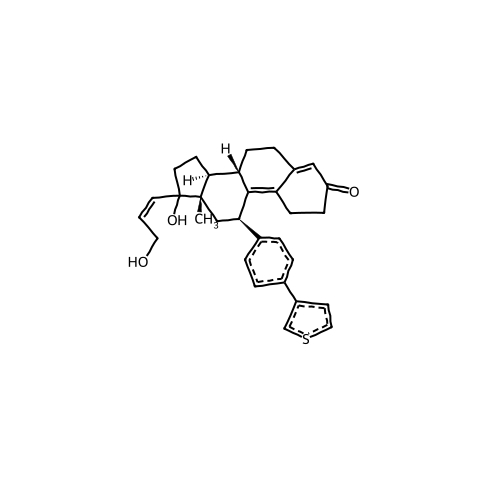 C[C@]12C[C@H](c3ccc(-c4ccsc4)cc3)C3=C4CCC(=O)C=C4CC[C@H]3[C@@H]1CCC2(O)/C=C\CO